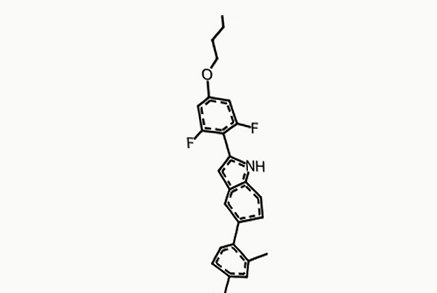 Cc1cc(C#N)ccc1-c1ccc2[nH]c(-c3c(F)cc(OCCCC#N)cc3F)cc2c1